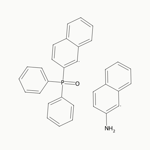 Nc1[c]c2ccccc2cc1.O=P(c1[c]c2ccccc2cc1)(c1ccccc1)c1ccccc1